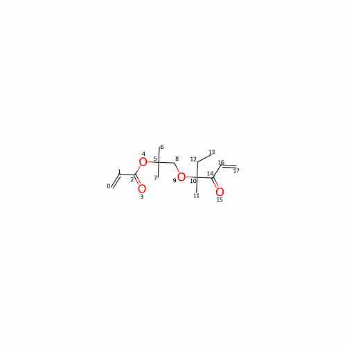 C=CC(=O)OC(C)(C)COC(C)(CC)C(=O)C=C